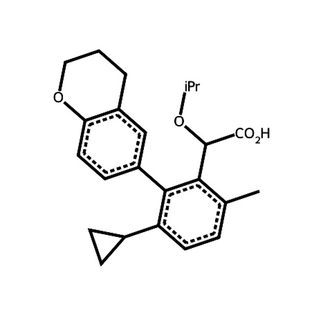 Cc1ccc(C2CC2)c(-c2ccc3c(c2)CCCO3)c1C(OC(C)C)C(=O)O